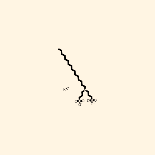 CCCCCCCCCCCCCCCCN(CCCS(=O)(=O)[O-])CCCS(=O)(=O)[O-].[K+].[K+]